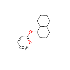 O=C(O)/C=C\C(=O)OC1CCCC2CCCCC21